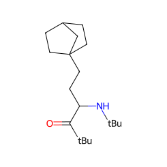 CC(C)(C)NC(CCC12CCC(CC1)C2)C(=O)C(C)(C)C